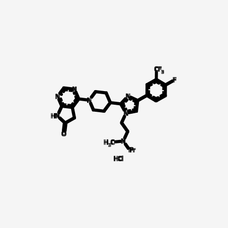 CC(C)N(C)CCn1cc(-c2ccc(F)c(C(F)(F)F)c2)nc1C1CCN(c2ncnc3c2CC(=O)N3)CC1.Cl